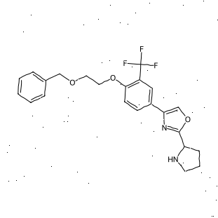 FC(F)(F)c1cc(-c2coc(C3CCCN3)n2)ccc1OCCOCc1ccccc1